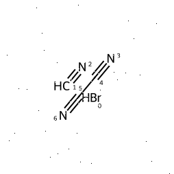 Br.C#N.N#CC#N